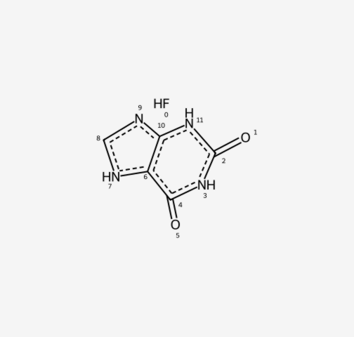 F.O=c1[nH]c(=O)c2[nH]cnc2[nH]1